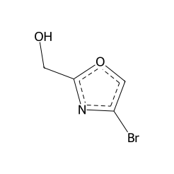 OCc1nc(Br)co1